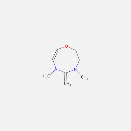 C=C1N(C)/C=C\OCCN1C